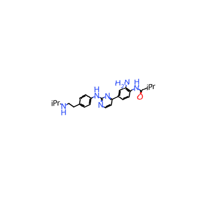 CC(C)NCCc1ccc(Nc2nccc(-c3ccc(NC(=O)C(C)C)c(N)c3)n2)cc1